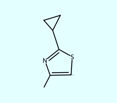 Cc1[c]sc(C2CC2)n1